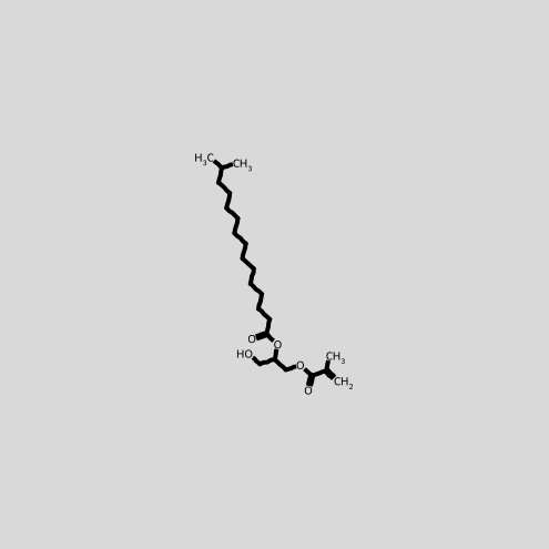 C=C(C)C(=O)OCC(CO)OC(=O)CCCCCCCCCCCCC(C)C